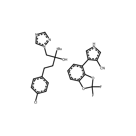 CC(C)(C)C(O)(CCc1ccc(Cl)cc1)Cn1cncn1.N#Cc1c[nH]cc1-c1cccc2c1OC(F)(F)O2